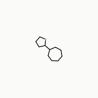 C1CCC[C](C2CCCS2)CC1